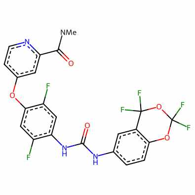 CNC(=O)c1cc(Oc2cc(F)c(NC(=O)Nc3ccc4c(c3)C(F)(F)OC(F)(F)O4)cc2F)ccn1